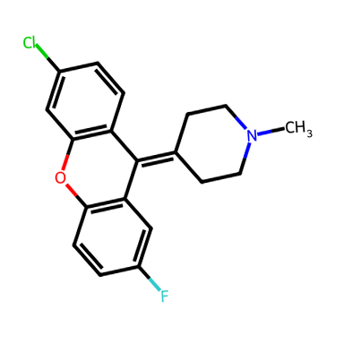 CN1CCC(=C2c3ccc(Cl)cc3Oc3ccc(F)cc32)CC1